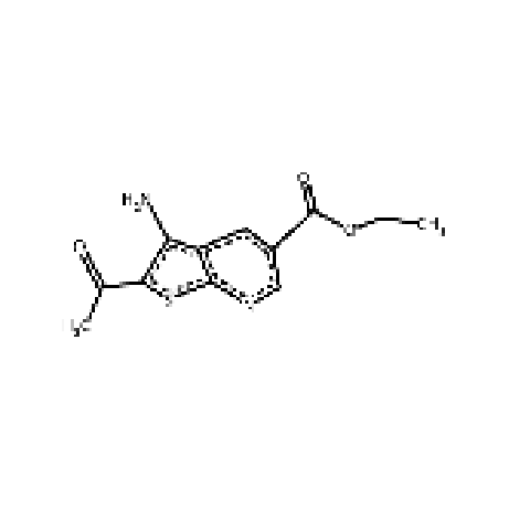 CCOC(=O)c1cnc2sc(C(C)=O)c(N)c2c1